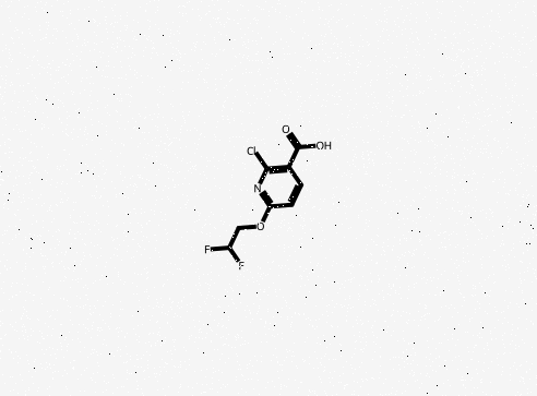 O=C(O)c1ccc(OCC(F)F)nc1Cl